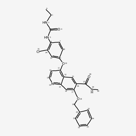 CCNC(=O)Nc1ccc(Oc2ccnc3cc(OCc4ccccc4)c(C(=O)NC)cc23)cc1Cl